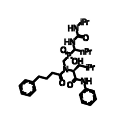 CCCC(NC(=O)NC(C)C)P(=O)(O)CN(C(=O)CCCc1ccccc1)[C@@H](CC(C)C)C(=O)Nc1ccccc1